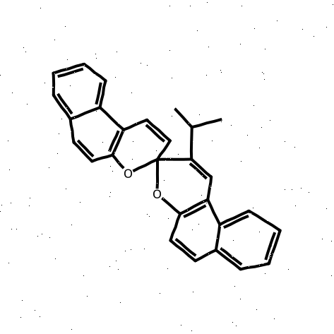 CC(C)C1=Cc2c(ccc3ccccc23)OC12C=Cc1c(ccc3ccccc13)O2